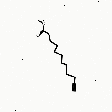 C#CCCCCCCCCCC(=O)OC